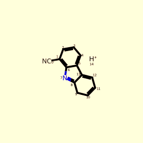 N#Cc1cccc2c1N=C1CC=CC=C12.[H+]